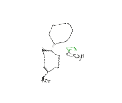 CCC[C@H]1CC[C@H](C2CCCCC2)CC1.O=C(O)Cl